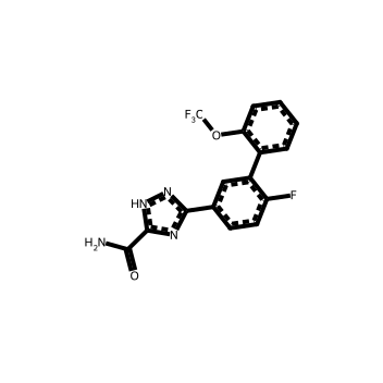 NC(=O)c1nc(-c2ccc(F)c(-c3ccccc3OC(F)(F)F)c2)n[nH]1